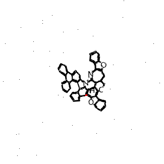 CCC1Cc2oc3ccccc3c2N=C(n2c3ccc4ccccc4c3c3c4c5ccccc5c5ccccc5c4ccc32)C1c1ccc2oc3ccccc3c2c1